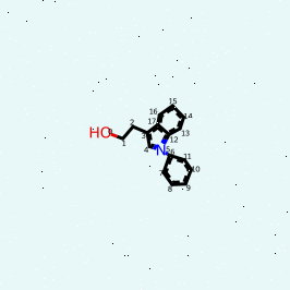 OCCc1cn(-c2ccccc2)c2ccccc12